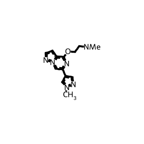 CNCCOc1nc(-c2cnn(C)c2)cn2nccc12